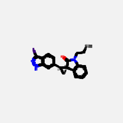 COCCN1C(=O)[C@@]2(C[C@H]2c2ccc3c(I)n[nH]c3c2)c2ccccc21